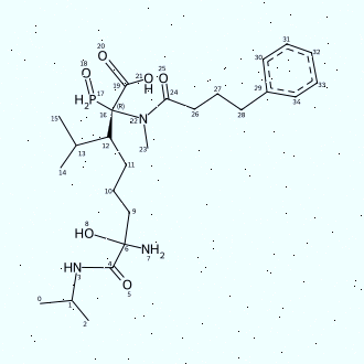 CC(C)NC(=O)C(N)(O)CCCC(C(C)C)[C@@]([PH2]=O)(C(=O)O)N(C)C(=O)CCCc1ccccc1